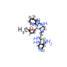 Cc1ccc(Cn2c(NC3CCN(CCNC(=S)Nc4cnccc4N)C3)nc3cccnc32)o1